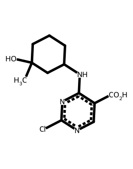 CC1(O)CCCC(Nc2nc(Cl)ncc2C(=O)O)C1